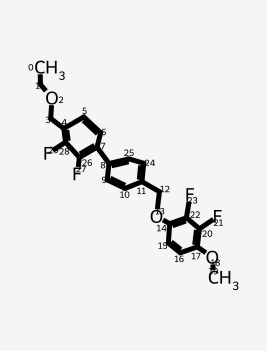 CCOCc1ccc(-c2ccc(COc3ccc(OC)c(F)c3F)cc2)c(F)c1F